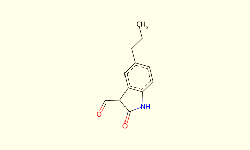 CCCc1ccc2c(c1)C(C=O)C(=O)N2